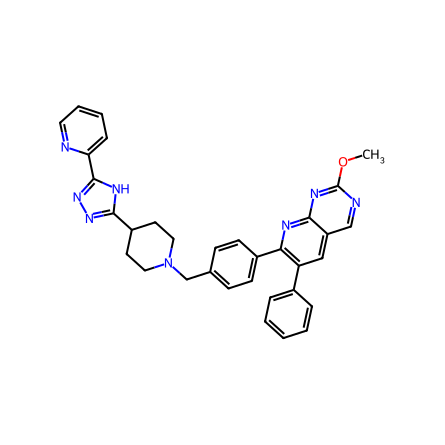 COc1ncc2cc(-c3ccccc3)c(-c3ccc(CN4CCC(c5nnc(-c6ccccn6)[nH]5)CC4)cc3)nc2n1